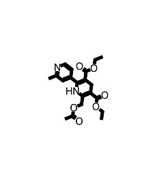 CCOC(=O)C1=C(COC(C)=O)NC(c2ccnc(C)c2)=C(C(=O)OCC)C1